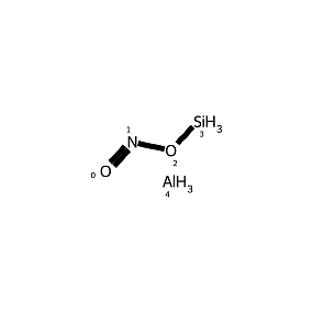 O=NO[SiH3].[AlH3]